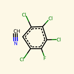 C#N.Fc1c(Cl)cc(Cl)c(Cl)c1Cl